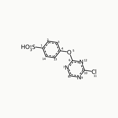 O=S(=O)(O)c1ccc(Oc2n[c]nc(Cl)n2)cc1